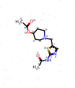 CC(=O)Nc1ncc(CN2CCC(OC(C)=O)CC2)s1